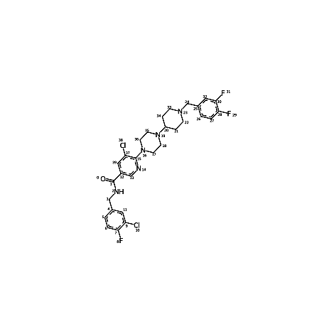 O=C(NCc1ccc(F)c(Cl)c1)c1cnc(N2CCN(C3CCN(Cc4ccc(F)c(F)c4)CC3)CC2)c(Cl)c1